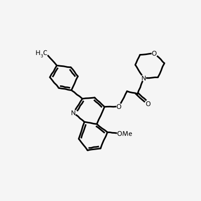 COc1cccc2nc(-c3ccc(C)cc3)cc(OCC(=O)N3CCOCC3)c12